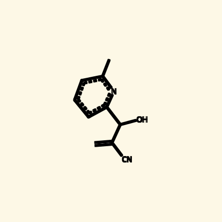 C=C(C#N)C(O)c1cccc(C)n1